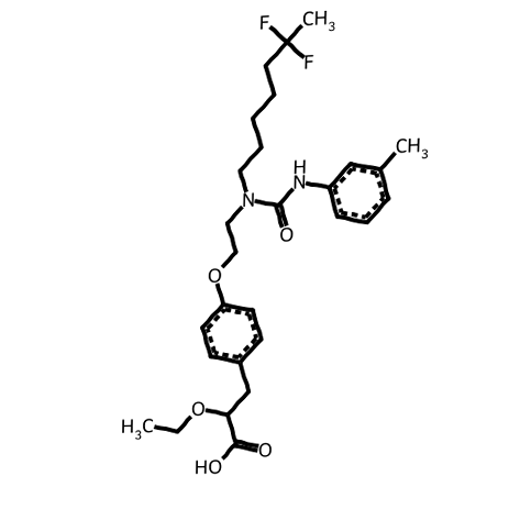 CCOC(Cc1ccc(OCCN(CCCCCC(C)(F)F)C(=O)Nc2cccc(C)c2)cc1)C(=O)O